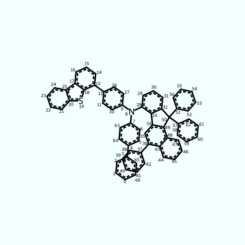 c1ccc(-c2ccc(N(c3ccc(-c4cccc5c4sc4ccccc45)cc3)c3cccc4c3-c3cc(-c5ccccc5)c5ccccc5c3C4(c3ccccc3)c3ccccc3)cc2)cc1